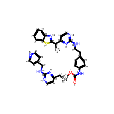 CC(C)(C)OC(=O)Nc1ccc(CCNc2nccc(C(C#N)c3nc4ccccc4s3)n2)cc1.N#CCc1ccnc(NCc2ccncc2)n1